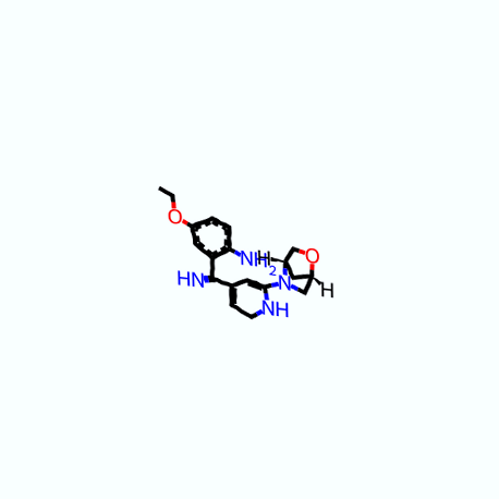 CCOc1ccc(N)c(C(=N)C2=CCNC(N3C[C@@H]4C[C@H]3CO4)=C2)c1